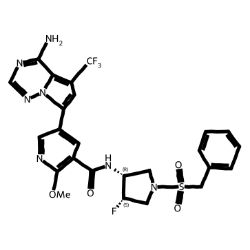 COc1ncc(-c2cc(C(F)(F)F)c3c(N)ncnn23)cc1C(=O)N[C@@H]1CN(S(=O)(=O)Cc2ccccc2)C[C@@H]1F